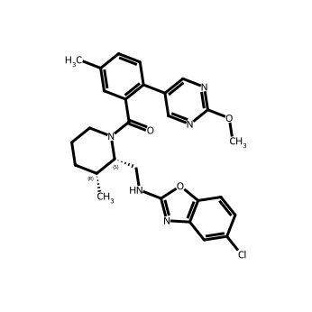 COc1ncc(-c2ccc(C)cc2C(=O)N2CCC[C@@H](C)[C@H]2CNc2nc3cc(Cl)ccc3o2)cn1